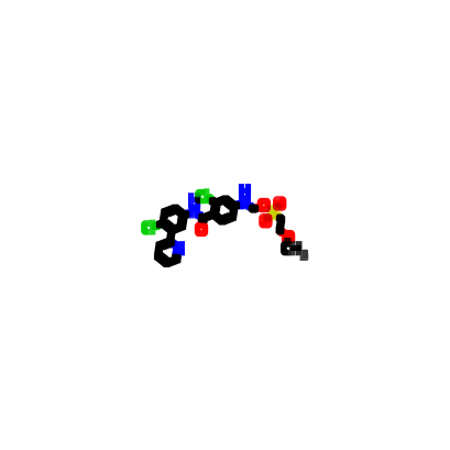 COCCS(=O)(=O)OCNc1ccc(C(=O)Nc2ccc(Cl)c(-c3ccccn3)c2)c(Cl)c1